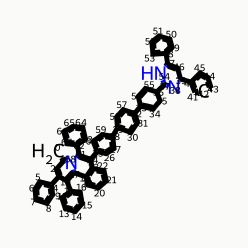 C=C1C=C(c2ccccc2)C(c2ccccc2)=C2c3ccccc3C(c3ccc(-c4ccc(C5=CCC(C6N=C(c7ccccc7)C=C(c7ccccc7)N6)C=C5)cc4)cc3)=C(c3ccccc3)N12